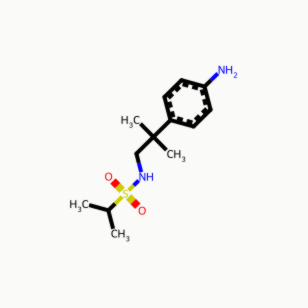 CC(C)S(=O)(=O)NCC(C)(C)c1ccc(N)cc1